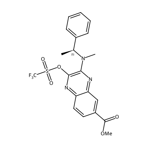 COC(=O)c1ccc2nc(OS(=O)(=O)C(F)(F)F)c(N(C)[C@@H](C)c3ccccc3)nc2c1